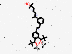 C/C(=C\C=C\C(C)(C)O)c1cccc(/C=C/c2ccc(C(O[SiH](C)C)C(C)(C)C)c(C(O[SiH](C)C)C(C)(C)C)c2)c1